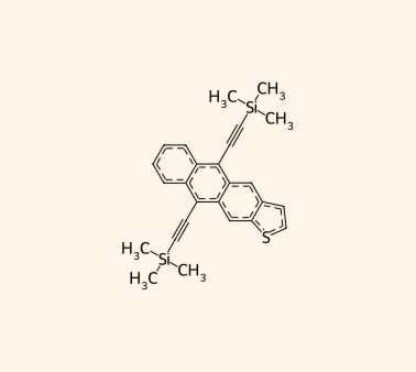 C[Si](C)(C)C#Cc1c2ccccc2c(C#C[Si](C)(C)C)c2cc3sccc3cc12